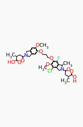 COc1cc2c(cc1OCCCOc1c(F)c3c(c(Cl)c1OC)CN(C(=O)C[C@H](C)C(=O)O)C3C)CN(C(=O)CC(C)C(=O)O)C2